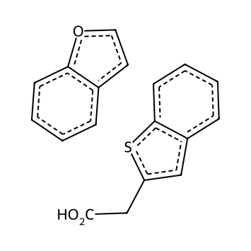 O=C(O)Cc1cc2ccccc2s1.c1ccc2occc2c1